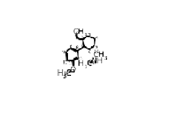 CCC1CCCCC1c1cccc(OC)c1.CNC